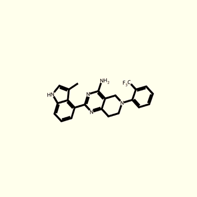 Cc1c[nH]c2cccc(-c3nc(N)c4c(n3)CCN(c3ccccc3C(F)(F)F)C4)c12